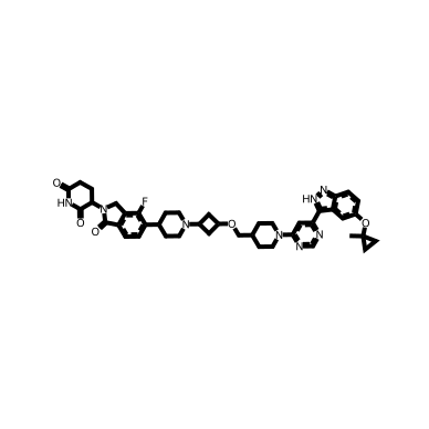 CC1(Oc2ccc3n[nH]c(-c4cc(N5CCC(COC6CC(N7CCC(c8ccc9c(c8F)CN(C8CCC(=O)NC8=O)C9=O)CC7)C6)CC5)ncn4)c3c2)CC1